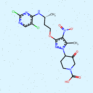 Cc1c([N+](=O)[O-])c(OCC[C@@H](C)Nc2nc(Cl)ncc2Cl)nn1C1CCN(C(=O)O)CC1=O